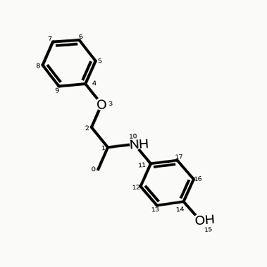 CC(COc1ccccc1)Nc1ccc(O)cc1